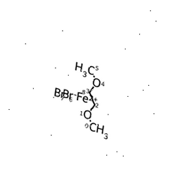 COCCOC.[Br-].[Br-].[Fe+2]